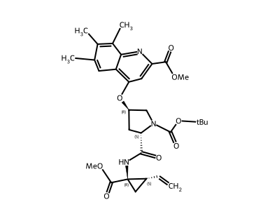 C=C[C@@H]1C[C@]1(NC(=O)[C@@H]1C[C@@H](Oc2cc(C(=O)OC)nc3c(C)c(C)c(C)cc23)CN1C(=O)OC(C)(C)C)C(=O)OC